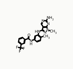 Cc1ccc(NC(=O)c2cccc(C(F)(F)F)c2)cc1Nc1nn(C)c2nc(N)ncc12